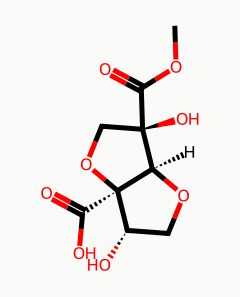 COC(=O)[C@@]1(O)CO[C@]2(C(=O)O)[C@@H](O)CO[C@@H]21